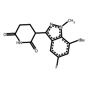 Cn1nc(C2CCC(=O)NC2=O)c2cc(F)cc(C(C)(C)C)c21